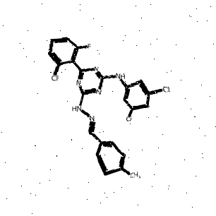 Cc1ccc(C=NNc2nc(Nc3cc(Cl)cc(Cl)c3)nc(-c3c(F)cccc3Cl)n2)cc1